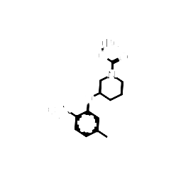 Cc1ccc([N+](=O)[O-])c(OC2CCCN(C(=O)OC(C)(C)C)C2)c1